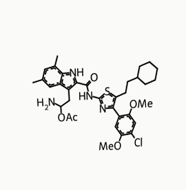 COc1cc(-c2nc(NC(=O)c3[nH]c4c(C)cc(C)cc4c3CC(N)OC(C)=O)sc2CCC2CCCCC2)c(OC)cc1Cl